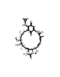 CO[C@H]1C=CC=C(C)C(=O)NC2=CC(=O)C(NC3CC3)=C(C[C@@H](C)C[C@H](OC)[C@H](O)[C@@H](C)C=C(C)[C@@H]1OC(N)=O)C2=O